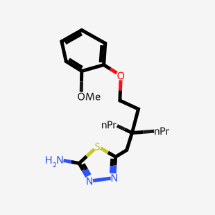 CCCC(CCC)(CCOc1ccccc1OC)Cc1nnc(N)s1